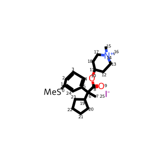 CSc1cccc(C(C)(C(=O)OC2CC[N+](C)(C)CC2)C2CCCC2)c1.[I-]